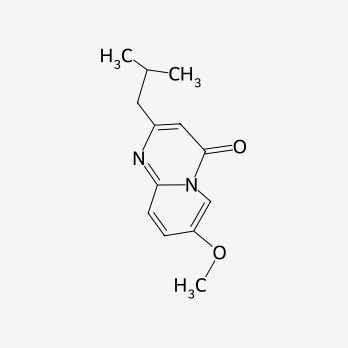 COc1ccc2nc(CC(C)C)cc(=O)n2c1